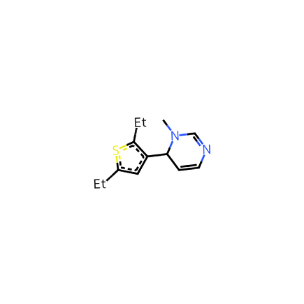 CCc1cc(C2C=CN=CN2C)c(CC)s1